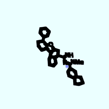 CN/C(=N\C(=N)c1cc2oc3c(-c4ccccc4)cccc3c2c2ccccc12)c1ccc2ccccc2c1